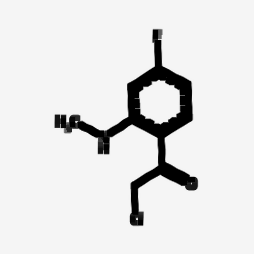 CNc1cc(F)ccc1C(=O)CCl